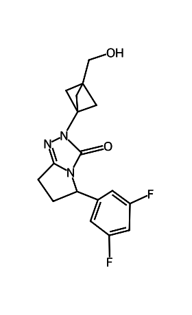 O=c1n(C23CC(CO)(C2)C3)nc2n1C(c1cc(F)cc(F)c1)CC2